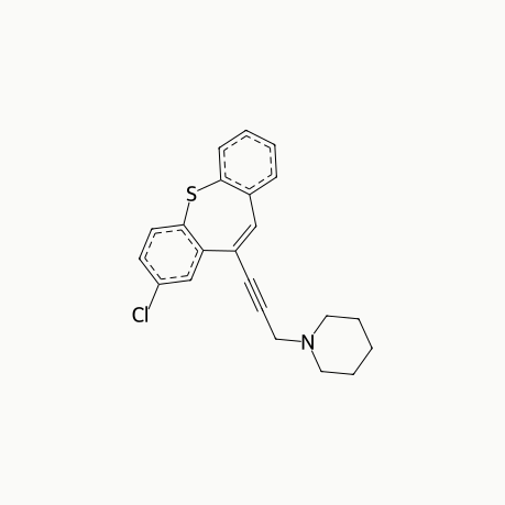 Clc1ccc2c(c1)C(C#CCN1CCCCC1)=Cc1ccccc1S2